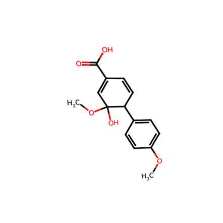 COc1ccc(C2C=CC(C(=O)O)=CC2(O)OC)cc1